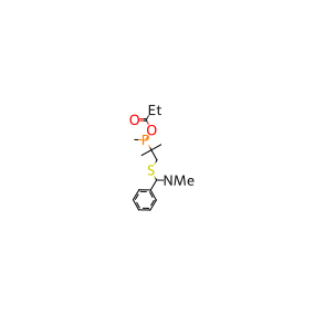 CCC(=O)OP(C)C(C)(C)CSC(NC)c1ccccc1